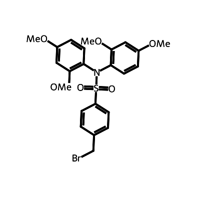 COc1ccc(N(c2ccc(OC)cc2OC)S(=O)(=O)c2ccc(CBr)cc2)c(OC)c1